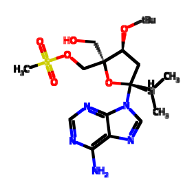 C[SiH](C)[C@]1(n2cnc3c(N)ncnc32)C[C@H](OC(C)(C)C)[C@](CO)(COS(C)(=O)=O)O1